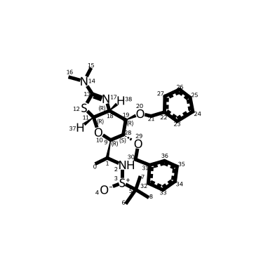 CC(N[S+]([O-])C(C)(C)C)[C@H]1O[C@@H]2SC(N(C)C)=N[C@@H]2[C@@H](OCc2ccccc2)[C@@H]1OCc1ccccc1